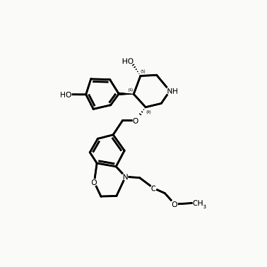 COCCCN1CCOc2ccc(CO[C@H]3CNC[C@@H](O)[C@@H]3c3ccc(O)cc3)cc21